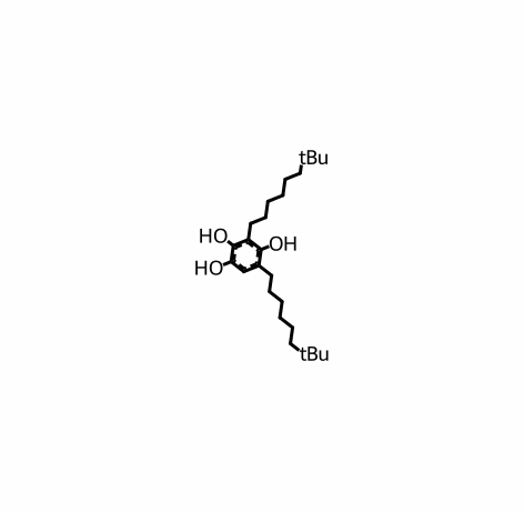 CC(C)(C)CCCCCCc1cc(O)c(O)c(CCCCCCC(C)(C)C)c1O